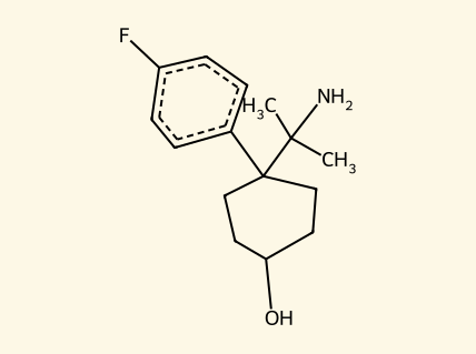 CC(C)(N)C1(c2ccc(F)cc2)CCC(O)CC1